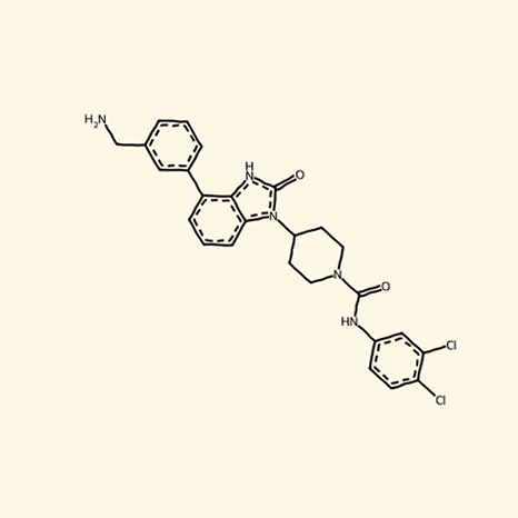 NCc1cccc(-c2cccc3c2[nH]c(=O)n3C2CCN(C(=O)Nc3ccc(Cl)c(Cl)c3)CC2)c1